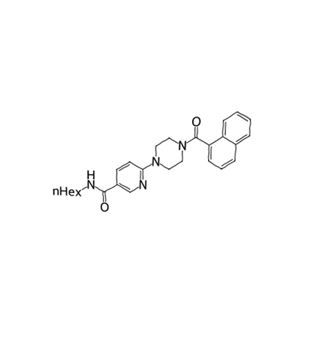 CCCCCCNC(=O)c1ccc(N2CCN(C(=O)c3cccc4ccccc34)CC2)nc1